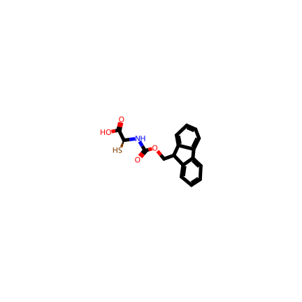 O=C(N[C@@H](S)C(=O)O)OCC1c2ccccc2-c2ccccc21